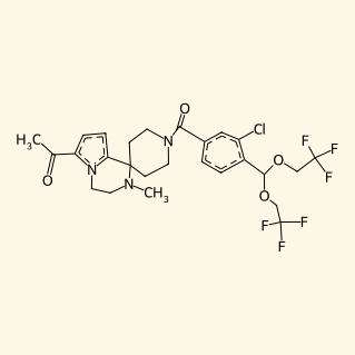 CC(=O)c1ccc2n1CCN(C)C21CCN(C(=O)c2ccc(C(OCC(F)(F)F)OCC(F)(F)F)c(Cl)c2)CC1